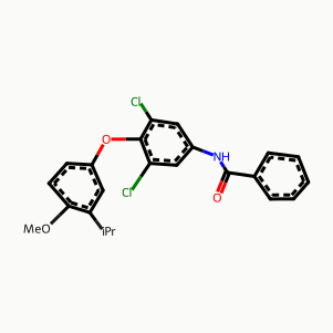 COc1ccc(Oc2c(Cl)cc(NC(=O)c3ccccc3)cc2Cl)cc1C(C)C